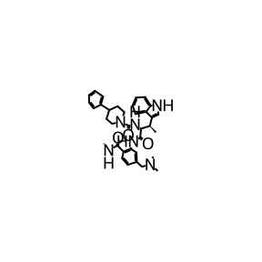 CNC(=O)c1ccc(CN(C)C)cc1NC(=O)[C@H](NC(=O)N1CCC(c2ccccc2)CC1)[C@H](C)c1c[nH]c2ccccc12